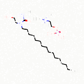 CCCCCCCCCCCCCCCCN(CCO)C(=O)NC.C[N+](C)(C)CCOP(=O)(O)O